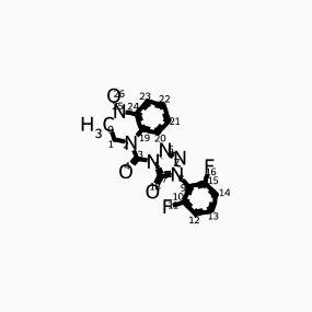 CCN(C(=O)n1nnn(-c2c(F)cccc2F)c1=O)c1ccccc1N=O